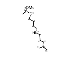 COP(C)OCCCCNCCCN(C)C